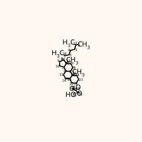 CC(C)CCCC(C)[C@H]1CCC2C3CC=C4CC(OS(=O)(=O)O)CC[C@]4(C)C3CC[C@@]21C